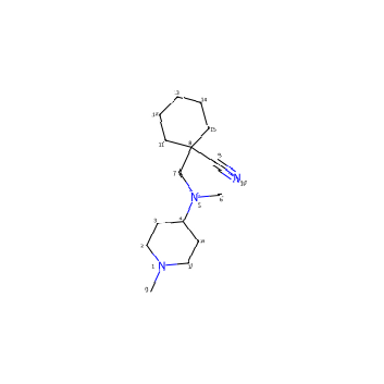 CN1CCC(N(C)CC2(C#N)CCCCC2)CC1